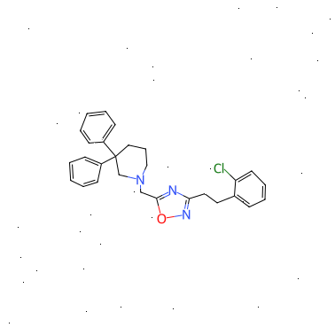 Clc1ccccc1CCc1noc(CN2CCCC(c3ccccc3)(c3ccccc3)C2)n1